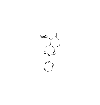 COC1NCCC(OC(=O)c2ccccc2)C1F